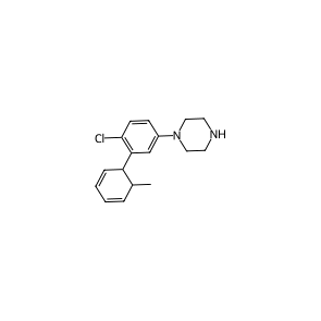 CC1C=CC=CC1c1cc(N2CCNCC2)ccc1Cl